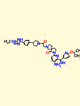 CN/C=N\C(=N)c1ccc(C2CCN(C(=O)CN3CC[C@]4(CCN(c5ccc(N)c(C(=N)c6ccc(OC(C)C)nc6)n5)C4=O)C3)CC2)cc1